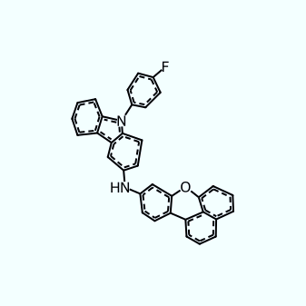 Fc1ccc(-n2c3ccccc3c3cc(Nc4ccc5c(c4)Oc4cccc6cccc-5c46)ccc32)cc1